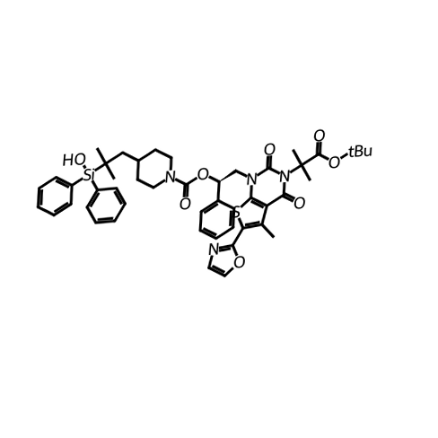 Cc1c(-c2ncco2)sc2c1c(=O)n(C(C)(C)C(=O)OC(C)(C)C)c(=O)n2C[C@H](OC(=O)N1CCC(CC(C)(C)[Si](O)(c2ccccc2)c2ccccc2)CC1)c1ccccc1